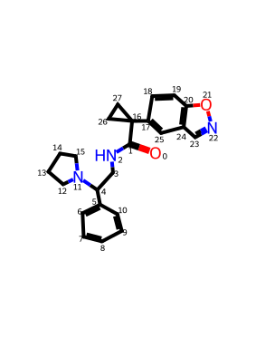 O=C(NCC(c1ccccc1)N1CCCC1)C1(c2ccc3oncc3c2)CC1